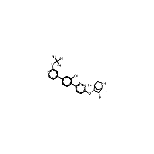 [2H]C([2H])([2H])Oc1cc(-c2ccc(-c3ccc(O[C@@H]4[C@H]5CN[C@](C)(C5)[C@@H]4F)nn3)c(O)c2)ccn1